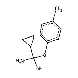 CCCC(N)(Oc1ccc(C(F)(F)F)cc1)C1CC1